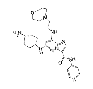 NC1CCC(Nc2cc(NCCN3CCOCC3)c3ncc(C(=O)Nc4ccncc4)n3n2)CC1